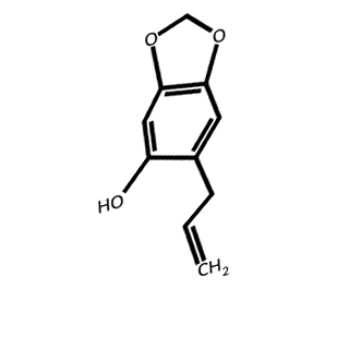 C=CCc1cc2c(cc1O)OCO2